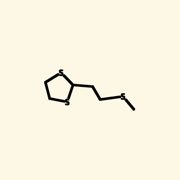 CSCCC1SCCS1